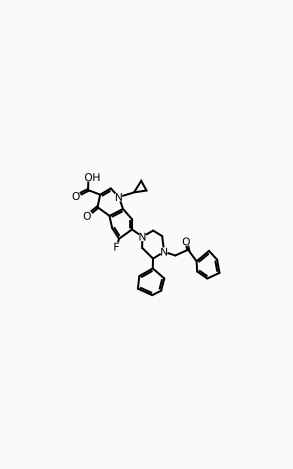 O=C(CN1CCN(c2cc3c(cc2F)c(=O)c(C(=O)O)cn3C2CC2)CC1c1ccccc1)c1ccccc1